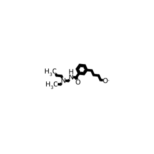 CCCN(CC)CNC(=O)c1cccc(CCCC[O])c1